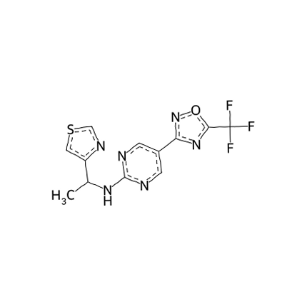 CC(Nc1ncc(-c2noc(C(F)(F)F)n2)cn1)c1cscn1